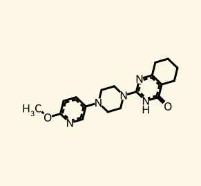 COc1ccc(N2CCN(c3nc4c(c(=O)[nH]3)CCCC4)CC2)cn1